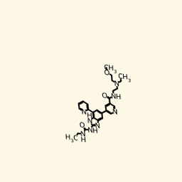 CCNC(=O)Nc1nc2cc(-c3cncc(C(=O)NCCN(CC)CCOC)c3)cc(-c3ccccn3)c2[nH]1